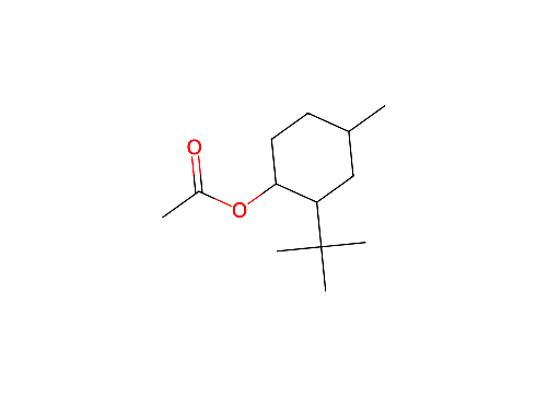 CC(=O)OC1CCC(C)CC1C(C)(C)C